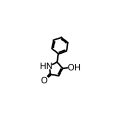 O=C1C=C(O)C(c2ccccc2)N1